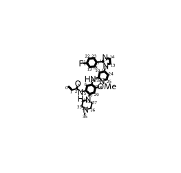 C=CC(=O)Nc1cc(Nc2cc(-n3ccnc3-c3ccc(F)cc3)ccn2)c(OC)cc1N1CCN(C)CC1